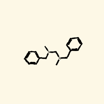 CN(Cc1ccccc1)CN(C)Cc1ccccc1